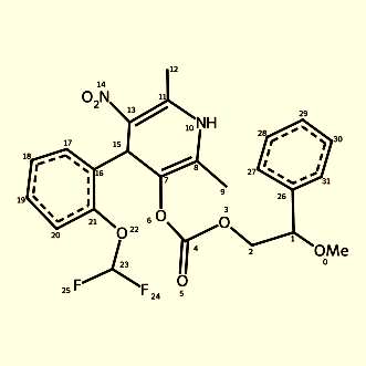 COC(COC(=O)OC1=C(C)NC(C)=C([N+](=O)[O-])C1c1ccccc1OC(F)F)c1ccccc1